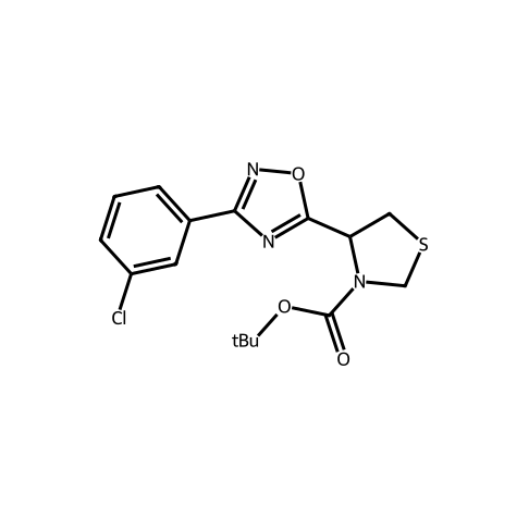 CC(C)(C)OC(=O)N1CSCC1c1nc(-c2cccc(Cl)c2)no1